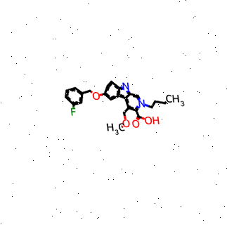 CCCCn1cc2nc3ccc(OCc4cccc(F)c4)cc3c-2c(COC)c1C(=O)O